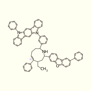 CCC1CC(c2ccc3c(c2)oc2ccc(-c4ccccc4)cc23)NC(c2cccc(-n3c4ccccc4c4cc5c(cc43)c3ccccc3n5-c3ccccc3)c2)CC/C=C\1c1ccccc1